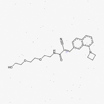 N#C/C(=C\c1ccc2cccc(N3CCC3)c2c1)C(=O)NCCOCCOCCO